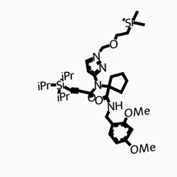 COc1ccc(CNC(=O)C2(N(C(=O)C#C[Si](C(C)C)(C(C)C)C(C)C)c3ccn(COCC[Si](C)(C)C)n3)CCCC2)c(OC)c1